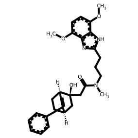 COc1ccc(OC)c2[nH]c(CCCN(C)C(=O)C[C@]3(O)C[C@H]4CC[C@@H]3C=C4c3ccccc3)nc12